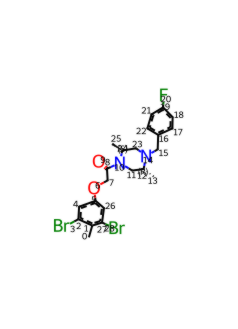 Cc1c(Br)cc(OCC(=O)N2C[C@@H](C)N(Cc3ccc(F)cc3)C[C@@H]2C)cc1Br